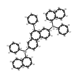 c1ccc(-c2cc3cc(N(c4ccccc4)c4cccc5ccccc45)ccc3c3ccc(N(c4ccccc4)c4cccc5ccccc45)cc23)cc1